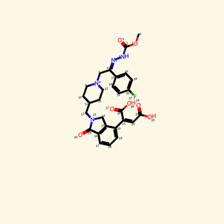 COC(=O)N/N=C(/CN1CCC(CN2Cc3c(cccc3/C(=C/C(=O)O)C(=O)O)C2=O)CC1)c1ccc(F)cc1